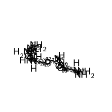 C[C@H](NC(=O)[C@H](CCc1ccc(CCCCNC(=N)NC(=O)c2nc(Cl)c(N)nc2N)cc1)N(C)C)C(=O)N(C)CCCCNC(=N)N